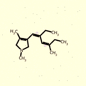 CC/C(C)=C\C(=C/C1=C(C)CN(C)C1)CC